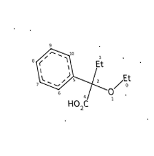 CCOC(CC)(C(=O)O)c1ccccc1